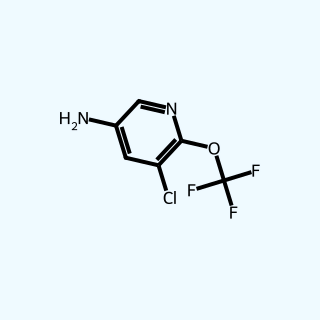 Nc1cnc(OC(F)(F)F)c(Cl)c1